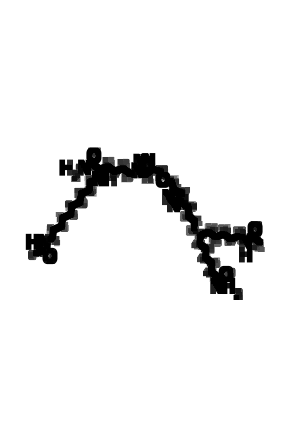 CC(=O)NCCCCCCCCCCNC(CCCCn1cc(COCc2cn(CCCC[C@H](CCCCCNC(C)=O)CCCCCC(N)=O)nn2)nn1)C(N)=O